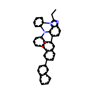 CCc1nc2ccc(-c3ccc4cc(-c5ccc6ccccc6c5)ccc4c3)c3c2n1-c1ccccc1N3c1ccccc1